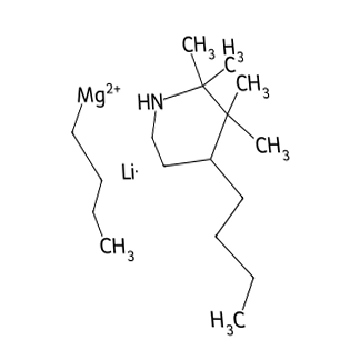 CCCCC1CCNC(C)(C)C1(C)C.CCC[CH2][Mg+2].[Li]